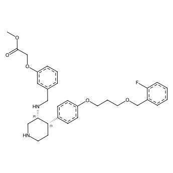 COC(=O)COc1cccc(CN[C@H]2CNCC[C@H]2c2ccc(OCCCOCc3ccccc3F)cc2)c1